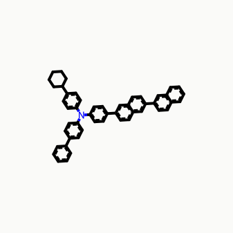 c1ccc(-c2ccc(N(c3ccc(-c4ccc5cc(-c6ccc7ccccc7c6)ccc5c4)cc3)c3ccc(C4CCCCC4)cc3)cc2)cc1